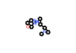 c1ccc(-n2c3ccccc3c3ccc(-c4ccc5c(c4)c4ccccc4n5-c4nc(-c5cccc6oc7ccccc7c56)c5ccccc5n4)cc32)cc1